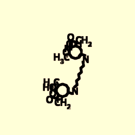 C=C1C(=O)O[C@@H]2[C@H](O)[C@@H](C)CC/C=C(/C=N\CCCCCCCCC/N=C\C3=C\CC[C@@]4(C)O[C@H]4[C@H]4OC(=O)C(=C)[C@@H]4CC3)CC[C@@H]12